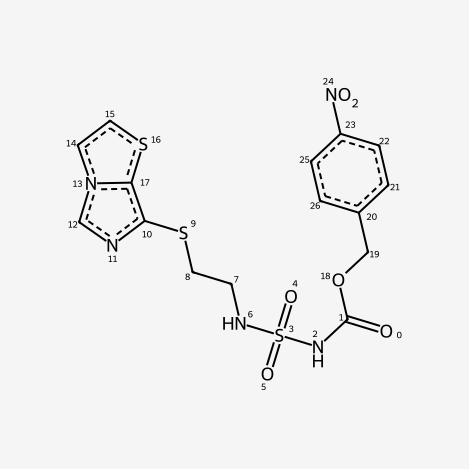 O=C(NS(=O)(=O)NCCSc1ncn2ccsc12)OCc1ccc([N+](=O)[O-])cc1